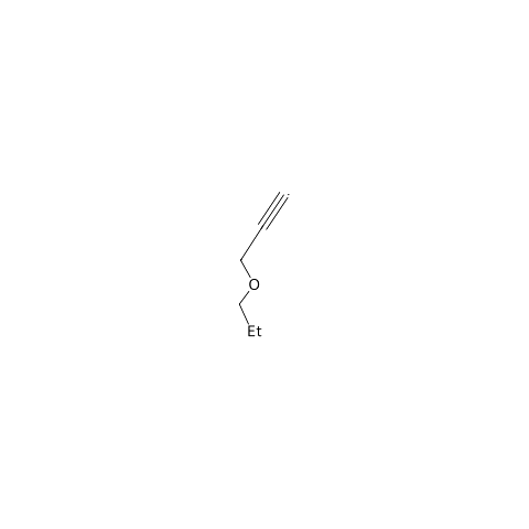 [C]#CCOCCC